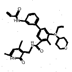 C=CC(=O)Nc1cccc(-c2cc(C(=O)NCc3c(C)cc(C)[nH]c3=O)c(C)c(N(CC)C3CCOCC3)c2)c1